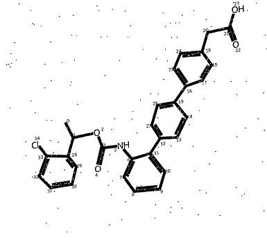 CC(OC(=O)Nc1ccccc1-c1ccc(-c2ccc(CC(=O)O)cc2)cc1)c1ccccc1Cl